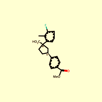 COC(=O)c1ccc([C@H]2CC[C@](C(=O)O)(c3cccc(F)c3C)C2)cc1